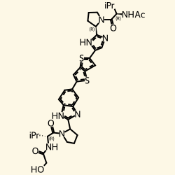 CC(=O)N[C@@H](C(=O)N1CCC[C@@H]1c1ncc(-c2cc3sc(-c4ccc5[nH]c(C6CCCN6C(=O)[C@H](NC(=O)CO)C(C)C)nc5c4)cc3s2)[nH]1)C(C)C